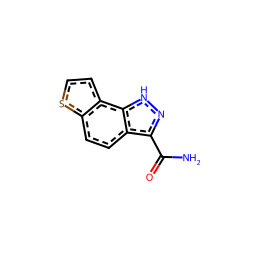 NC(=O)c1n[nH]c2c1ccc1sccc12